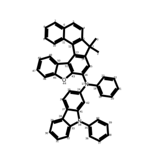 CC1(C)c2ccc3ccccc3c2-c2c1cc(N(c1ccccc1)c1ccc3c4ccccc4n(-c4ccccc4)c3c1)c1oc3ccccc3c21